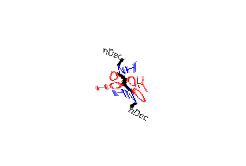 CCCCCCCCCCCCNC(=O)C(O)C(O)C(=O)NCCCCCCCCCCCC